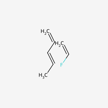 C=CC=CC.C=CF